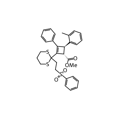 COC(=O)[C@@H]1C(C2(CCS(=O)(=O)c3ccccc3)SCCCS2)=C(c2ccccc2)[C@H]1c1ccccc1C